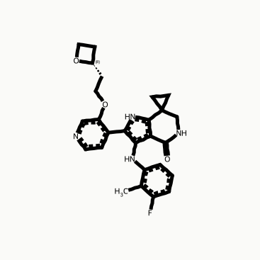 Cc1c(F)cccc1Nc1c(-c2ccncc2OCC[C@H]2CCO2)[nH]c2c1C(=O)NCC21CC1